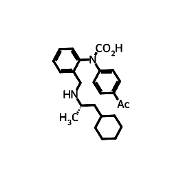 CC(=O)c1ccc(N(C(=O)O)c2ccccc2CN[C@@H](C)CC2CCCCC2)cc1